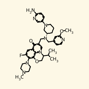 COc1cc(CN(Cc2cn3c4c(c(N5CCN(C)CC5)c(F)cc4c2=O)OCC3C(C)C)[C@H]2CCCN(c3ccc(N)nc3)C2)ccn1